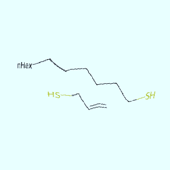 C=CCS.CCCCCCCCCCCCS